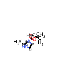 C=C[C@@H]1CN(C(=O)OC(C)(C)C)CCN1